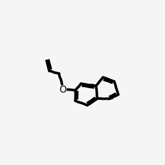 C=CCOc1ccc2[c]cccc2c1